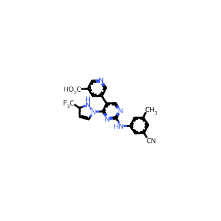 Cc1cc(C#N)cc(Nc2ncc(-c3cncc(C(=O)O)c3)c(N3C=CC(C(F)(F)F)N3)n2)c1